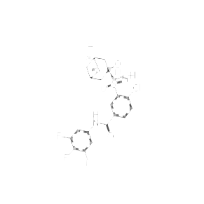 O=C(Nc1cc(F)c(F)c(F)c1)c1ccc(Cl)c(S(=O)(=O)C[C@@H]2C3C[C@H]2C[C@](O)(CO)C3)c1